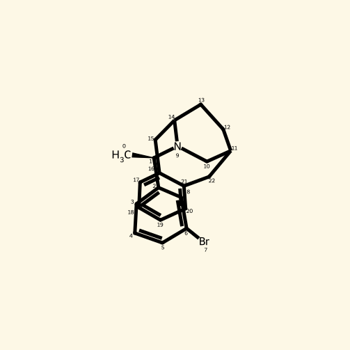 C[C@H](c1cccc(Br)c1)N1CC2CCC1Cc1ccccc1C2